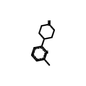 Cc1cccc(C2CCNCC2)n1